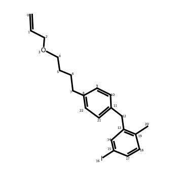 C=CCOCCCCc1ccc(Cc2cc(I)ccc2C)cc1